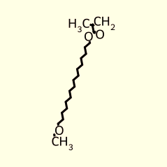 C=C(C)C(=O)OCCCCCCCCCCCCCCCCOCC